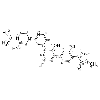 CC(C)N1CCN(c2cc(-c3cc(F)cc(-c4ccc(-n5ccn(C)c5=O)c(Cl)c4)c3O)ccn2)CC1=N